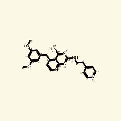 COc1cc(Cc2ccnc3nc(NCCc4ccncc4)nc(N)c23)cc(OC)c1